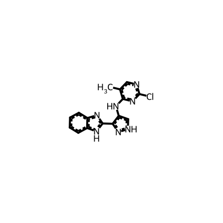 Cc1cnc(Cl)nc1Nc1c[nH]nc1-c1nc2ccccc2[nH]1